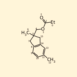 CCC(=O)OCC1(C)Cc2ccc(C)cc2C1